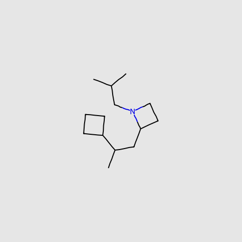 CC(C)CN1CCC1CC(C)C1CCC1